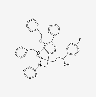 O=C1N(c2ccccc2)CC1(CCC(O)c1ccc(F)cc1)c1ccc(-c2ccccc2)c(OCc2ccccc2)c1OCc1ccccc1